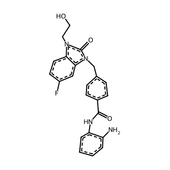 Nc1ccccc1NC(=O)c1ccc(Cn2c(=O)n(CCO)c3ccc(F)cc32)cc1